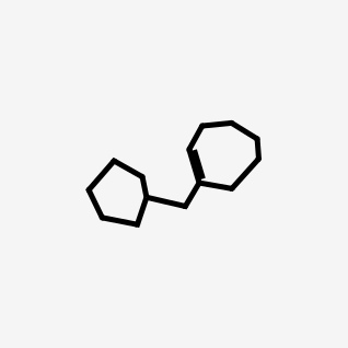 C1=C(CC2CCCCC2)CCCCC1